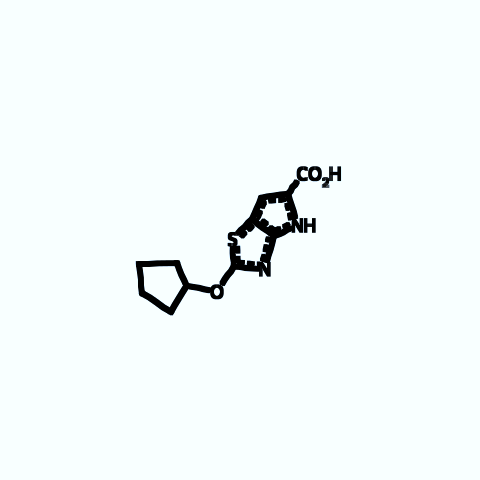 O=C(O)c1cc2sc(OC3CCCC3)nc2[nH]1